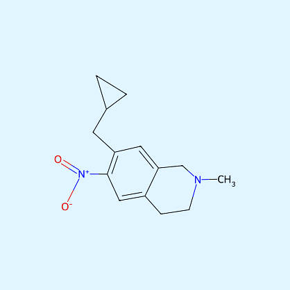 CN1CCc2cc([N+](=O)[O-])c(CC3CC3)cc2C1